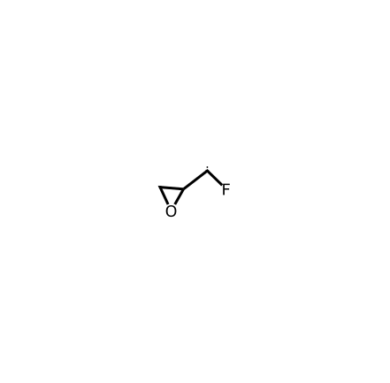 F[CH]C1CO1